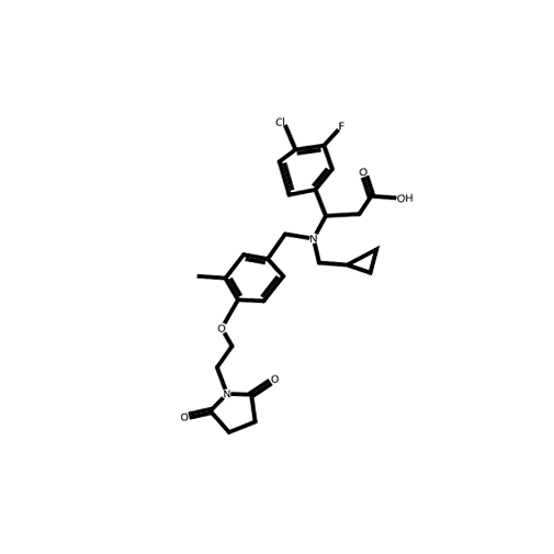 Cc1cc(CN(CC2CC2)C(CC(=O)O)c2ccc(Cl)c(F)c2)ccc1OCCN1C(=O)CCC1=O